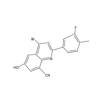 Cc1ccc(-c2cc(Br)c3cc(O)cc(C#N)c3n2)cc1F